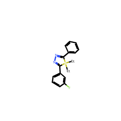 CCS1(CC)C(c2ccccc2)=NN=C1c1cccc(F)c1